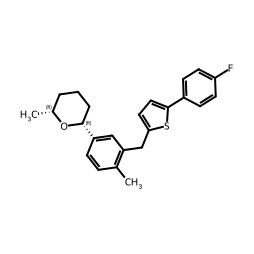 Cc1ccc([C@H]2CCC[C@@H](C)O2)cc1Cc1ccc(-c2ccc(F)cc2)s1